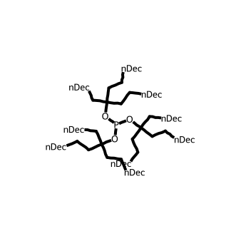 CCCCCCCCCCCCC(CCCCCCCCCCC)(CCCCCCCCCCCC)OP(OC(CCCCCCCCCCC)(CCCCCCCCCCCC)CCCCCCCCCCCC)OC(CCCCCCCCCCC)(CCCCCCCCCCCC)CCCCCCCCCCCC